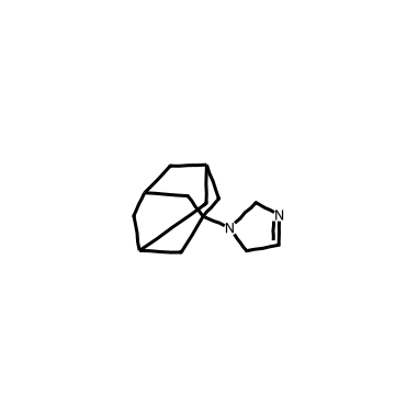 C1=NCN(C23CC4CC(CC(C4)C2)C3)C1